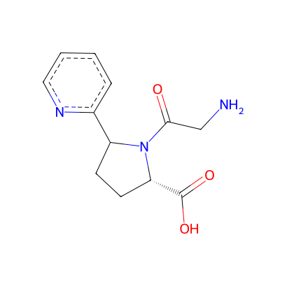 NCC(=O)N1C(c2ccccn2)CC[C@H]1C(=O)O